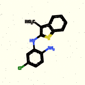 CCOC(=O)c1c(Nc2cc(Cl)ccc2N)sc2ccccc12